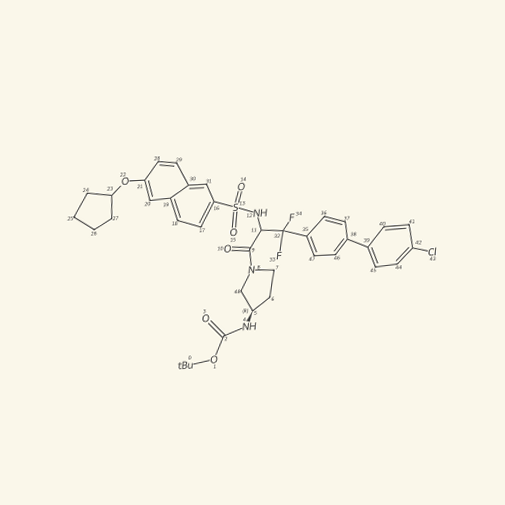 CC(C)(C)OC(=O)N[C@@H]1CCN(C(=O)C(NS(=O)(=O)c2ccc3cc(OC4CCCC4)ccc3c2)C(F)(F)c2ccc(-c3ccc(Cl)cc3)cc2)C1